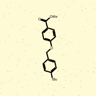 COC(=O)c1ccc(OCc2ccc(C(C)(C)C)cc2)cc1